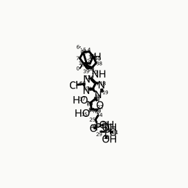 C[C@]12C[C@@H]3C[C@](C)(C1)C[C@@](Nc1nc(Cl)nc4c1ncn4[C@@H]1O[C@H](CCP(=O)(O)CP(=O)(O)O)[C@H](O)[C@@H]1O)(C3)C2